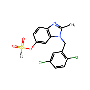 CCS(=O)(=O)Oc1ccc2nc(C)n(Cc3cc(Cl)ccc3Cl)c2c1